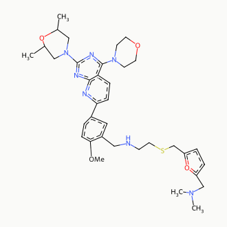 COc1ccc(-c2ccc3c(N4CCOCC4)nc(N4CC(C)OC(C)C4)nc3n2)cc1CNCCSCc1ccc(CN(C)C)o1